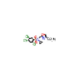 O=C(O)c1coc(CN(C2CC2)S(=O)(=O)c2cc(Cl)c(Cl)cc2Cl)n1